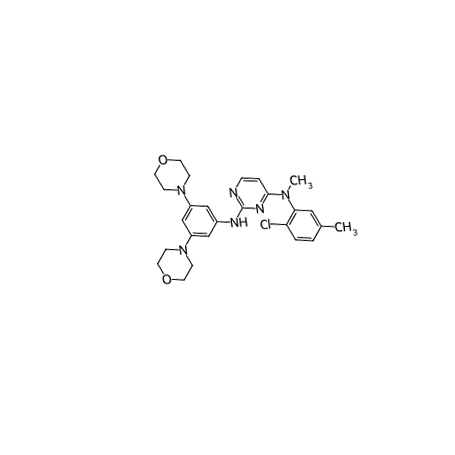 Cc1ccc(Cl)c(N(C)c2ccnc(Nc3cc(N4CCOCC4)cc(N4CCOCC4)c3)n2)c1